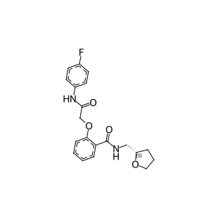 O=C(COc1ccccc1C(=O)NC[C@@H]1CCCO1)Nc1ccc(F)cc1